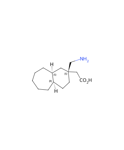 NC[C@@]1(CC(=O)O)CC[C@H]2CCCCC[C@H]2C1